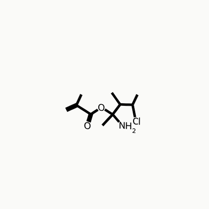 C=C(C)C(=O)OC(C)(N)C(C)C(C)Cl